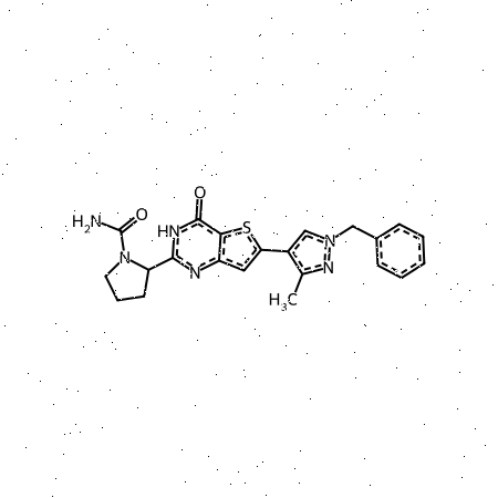 Cc1nn(Cc2ccccc2)cc1-c1cc2nc(C3CCCN3C(N)=O)[nH]c(=O)c2s1